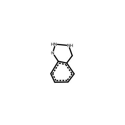 c1ccc2c(c1)CNN[N]2